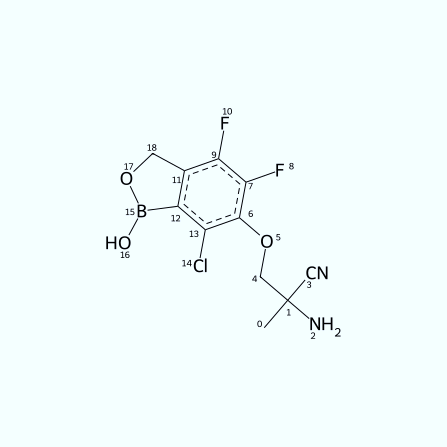 CC(N)(C#N)COc1c(F)c(F)c2c(c1Cl)B(O)OC2